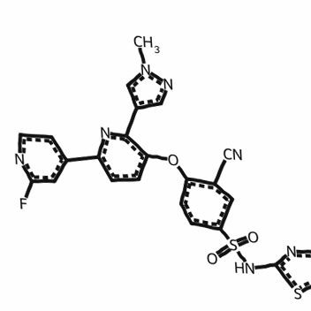 Cn1cc(-c2nc(-c3ccnc(F)c3)ccc2Oc2ccc(S(=O)(=O)Nc3nccs3)cc2C#N)cn1